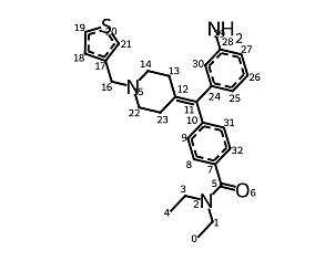 CCN(CC)C(=O)c1ccc(C(=C2CCN(Cc3ccsc3)CC2)c2cccc(N)c2)cc1